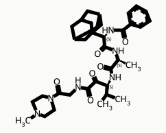 CC(C)[C@H](NC(=O)[C@H](C)NC(=O)[C@@H](NC(=O)c1ccccc1)C12CC3CC(CC(C3)C1)C2)C(=O)C(=O)NCC(=O)N1CCN(C)CC1